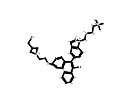 CC/C(=C(/c1ccc(OCCN2CC(CF)C2)cc1)c1ccc2c(cnn2COCCS(C)(C)C)c1)c1ccccc1